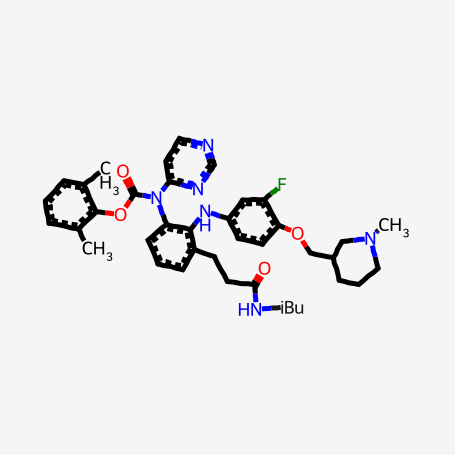 CCC(C)NC(=O)CCc1cccc(N(C(=O)Oc2c(C)cccc2C)c2ccncn2)c1Nc1ccc(OCC2CCCN(C)C2)c(F)c1